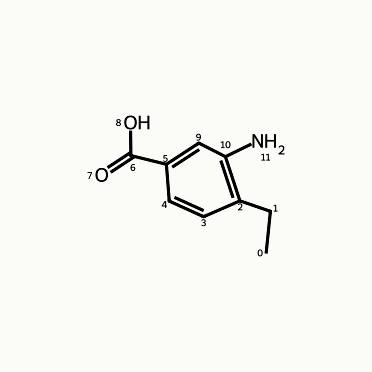 CCc1ccc(C(=O)O)cc1N